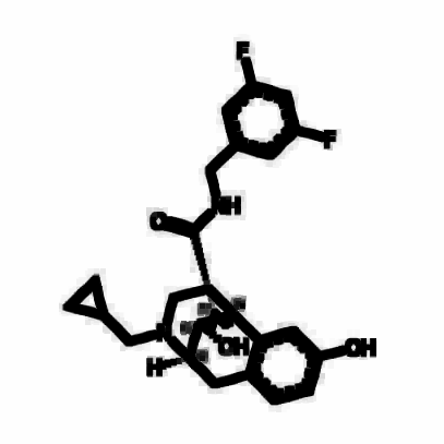 O=C(NCc1cc(F)cc(F)c1)[C@@H]1C[C@]23CCN(CC4CC4)[C@H](Cc4ccc(O)cc42)[C@]3(O)C1